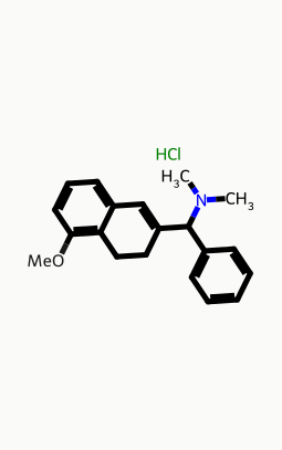 COc1cccc2c1CCC(C(c1ccccc1)N(C)C)=C2.Cl